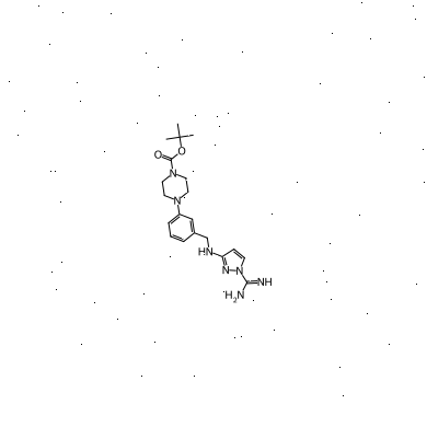 CC(C)(C)OC(=O)N1CCN(c2cccc(CNc3ccn(C(=N)N)n3)c2)CC1